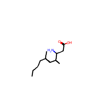 CCCCC(C)CC(C)C(N)CC(=O)O